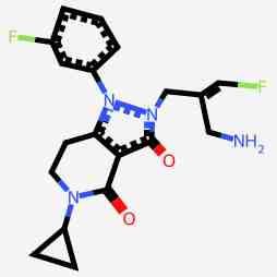 NC/C(=C\F)Cn1c(=O)c2c(n1-c1cccc(F)c1)CCN(C1CC1)C2=O